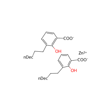 CCCCCCCCCCCCc1cccc(C(=O)[O-])c1O.CCCCCCCCCCCCc1cccc(C(=O)[O-])c1O.[Zn+2]